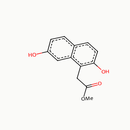 COC(=O)Cc1c(O)ccc2ccc(O)cc12